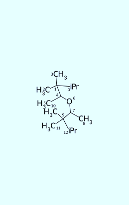 CC(C)C(C)(C)C(C)OC(C)C(C)(C)C(C)C